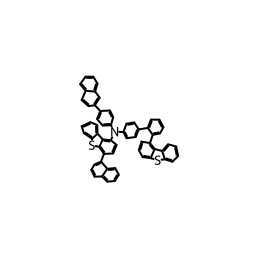 c1ccc(-c2cccc3sc4ccccc4c23)c(-c2ccc(N(c3ccc(-c4ccc5ccccc5c4)cc3)c3ccc(-c4cccc5ccccc45)c4sc5ccccc5c34)cc2)c1